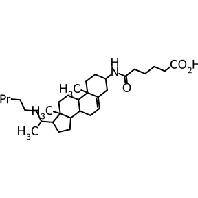 CC(C)CCCC(C)C1CCC2C3CC=C4CC(NC(=O)CCCCC(=O)O)CCC4(C)C3CCC12C